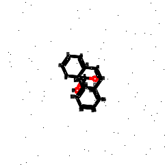 O=C1OC2=CC3=CC=CCC13c1ccccc12